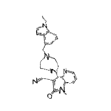 CCn1ccc2c(CN3CCN(c4c(C#N)c(=O)n(C)c5cccnc45)CC3)cccc21